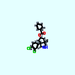 O=C(O[C@@H]1C[C@@H]2CNC[C@]2(c2ccc(Cl)c(Cl)c2)C1)c1ccccc1